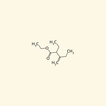 C=C(CC)C(CC)C(=O)OCC